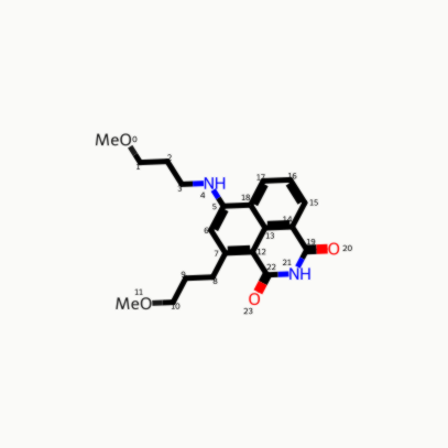 COCCCNc1cc(CCCOC)c2c3c(cccc13)C(=O)NC2=O